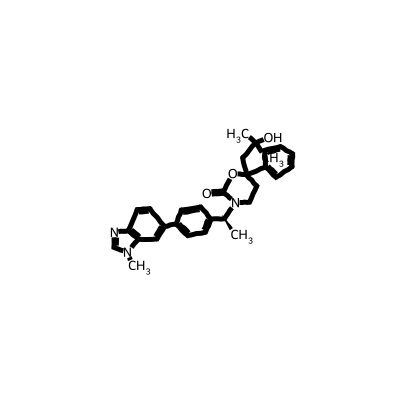 C[C@@H](c1ccc(-c2ccc3ncn(C)c3c2)cc1)N1CCC(CC(C)(C)O)(c2ccccc2)OC1=O